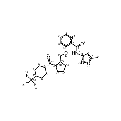 Cc1cc(NC(=O)c2ncccc2OC[C@H]2CCCN2C(=O)[C@H]2CC[C@H](C(F)(F)F)CC2)no1